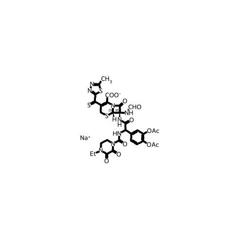 CCN1CCN(C(=O)NC(C(=O)N[C@]2(NC=O)C(=O)N3C(C(=O)[O-])=C(C(=S)c4nnc(C)s4)CS[C@H]32)c2ccc(OC(C)=O)c(OC(C)=O)c2)C(=O)C1=O.[Na+]